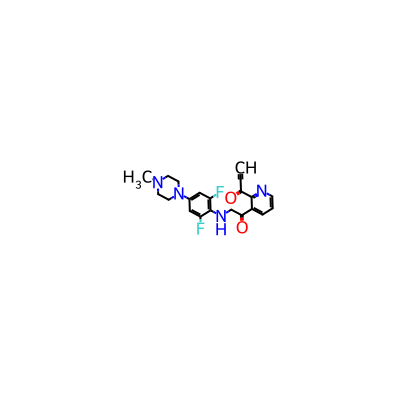 C#CC(=O)c1ncccc1C(=O)CNc1c(F)cc(N2CCN(C)CC2)cc1F